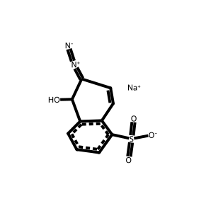 [N-]=[N+]=C1C=Cc2c(cccc2S(=O)(=O)[O-])C1O.[Na+]